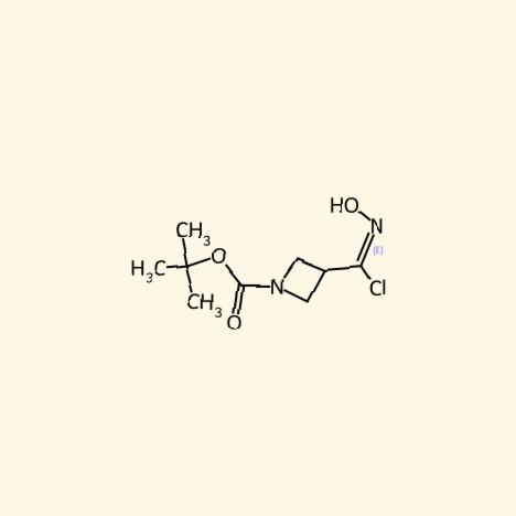 CC(C)(C)OC(=O)N1CC(/C(Cl)=N\O)C1